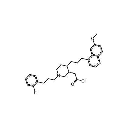 COc1ccc2nccc(CCC[C@@H]3CCN(CCCc4ccccc4Cl)C[C@@H]3CC(=O)O)c2c1